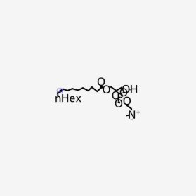 CCCCCC/C=C\CCCCCCCC(=O)OCC(CO)OP(=O)([O-])OCC[N+](C)(C)C